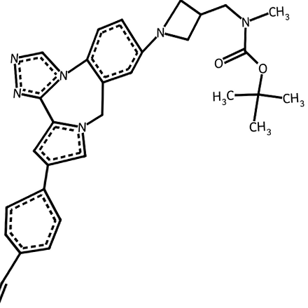 CN(CC1CN(c2ccc3c(c2)Cn2cc(-c4ccc(C#N)cc4)cc2-c2nncn2-3)C1)C(=O)OC(C)(C)C